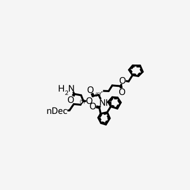 CCCCCCCCCCCCC[C@@H](CC(N)=O)OC(=O)[C@H](CCCC(=O)OCc1ccccc1)NC(=O)c1ccccc1-c1ccccc1